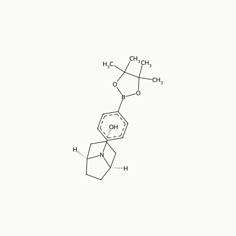 CC1(C)OB(c2ccc(N3[C@@H]4CC[C@H]3C[C@H](O)C4)cc2)OC1(C)C